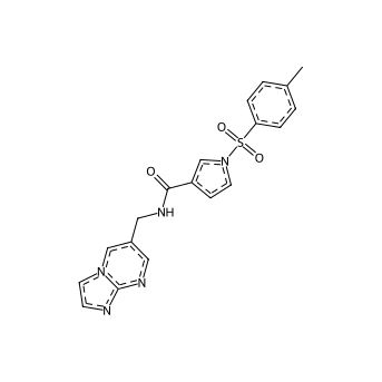 Cc1ccc(S(=O)(=O)n2ccc(C(=O)NCc3cnc4nccn4c3)c2)cc1